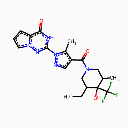 CCC1CN(C(=O)c2cnn(-c3nn4cccc4c(=O)[nH]3)c2C)CC(C)C1(O)C(F)(F)F